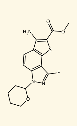 COC(=O)c1sc2c(ccc3c2c(F)nn3C2CCCCO2)c1N